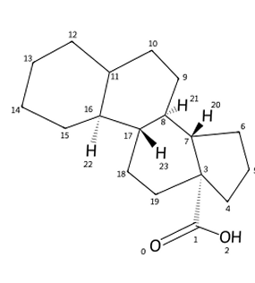 O=C(O)[C@@]12CCC[C@H]1[C@@H]1CCC3CCCC[C@@H]3[C@H]1CC2